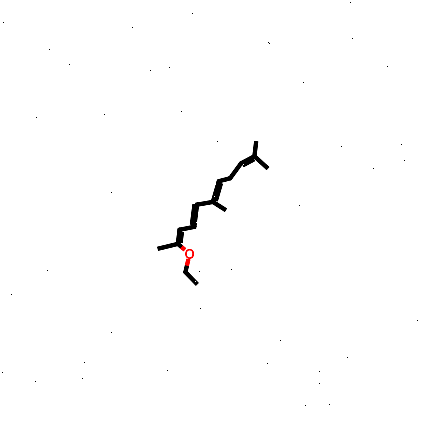 CCO\C(C)=C/C=C/C(C)=C/CC=C(C)C